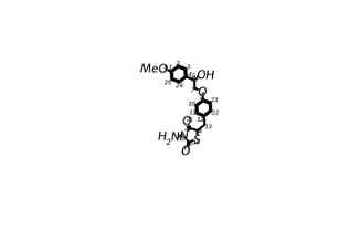 COc1ccc([C@@H](O)COc2ccc(CC3SC(=O)N(N)C3=O)cc2)cc1